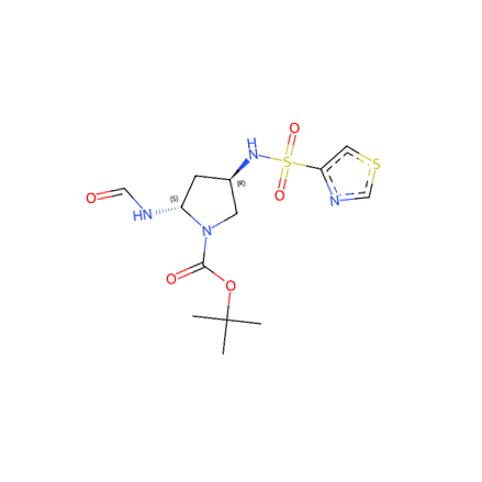 CC(C)(C)OC(=O)N1C[C@H](NS(=O)(=O)c2cscn2)C[C@H]1NC=O